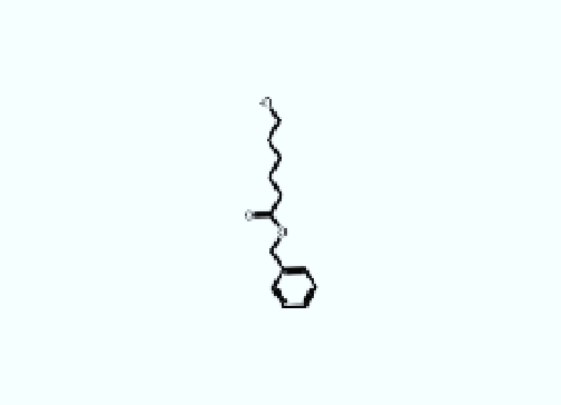 [O]CCCCCC(=O)OCc1ccccc1